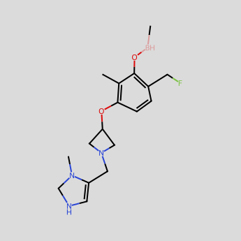 CBOc1c(CF)ccc(OC2CN(CC3=CNCN3C)C2)c1C